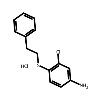 Cl.Nc1ccc(SCCc2ccccc2)c(Cl)c1